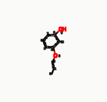 CC=COc1cccc(O)c1